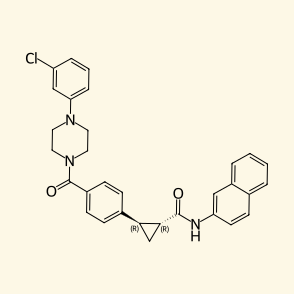 O=C(Nc1ccc2ccccc2c1)[C@@H]1C[C@H]1c1ccc(C(=O)N2CCN(c3cccc(Cl)c3)CC2)cc1